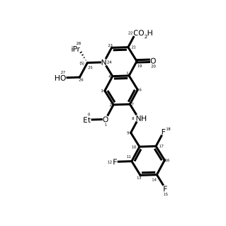 CCOc1cc2c(cc1NCc1c(F)cc(F)cc1F)c(=O)c(C(=O)O)cn2[C@H](CO)C(C)C